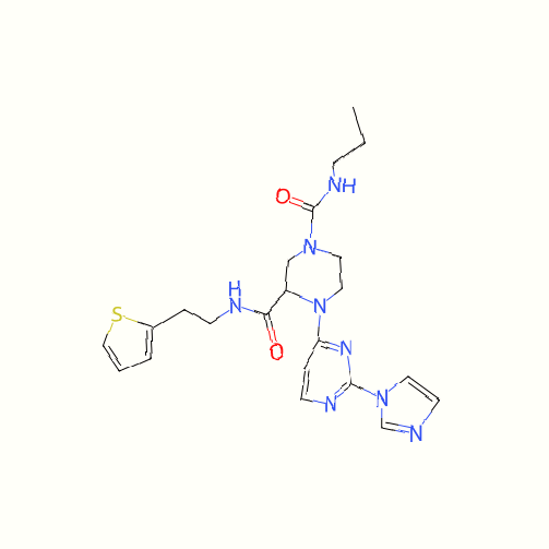 CCCNC(=O)N1CCN(c2ccnc(-n3ccnc3)n2)C(C(=O)NCCc2cccs2)C1